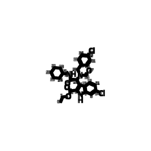 CCOC(=O)c1[nH]c2cc(Cl)ccc2c1C(C(=O)NC1CCCCC1)N(C=O)Cc1ccc(Cl)cc1